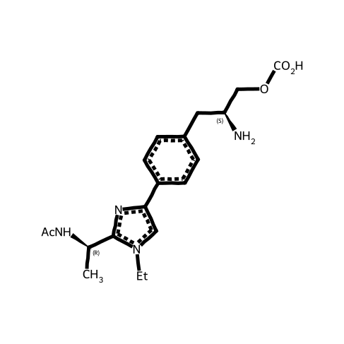 CCn1cc(-c2ccc(C[C@H](N)COC(=O)O)cc2)nc1[C@@H](C)NC(C)=O